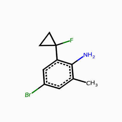 Cc1cc(Br)cc(C2(F)CC2)c1N